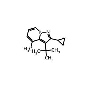 Cc1cccn2nc(C3CC3)c(C(C)(C)C)c12